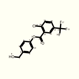 O=C(Oc1ccc(CO)cc1)c1cc(C(F)(F)F)ccc1Cl